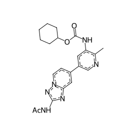 CC(=O)Nc1nc2cc(-c3cnc(C)c(NC(=O)OC4CCCCC4)c3)ccn2n1